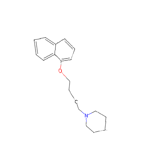 [CH]1CCN(CCCCOc2cccc3ccccc23)CC1